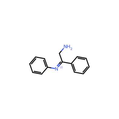 NC/C(=N\c1ccccc1)c1ccccc1